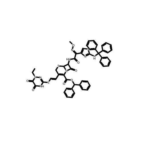 CCn1nc(SC=CC2=C(C(=O)OC(c3ccccc3)c3ccccc3)N3C(=O)C(NC(=O)C(=NOC)c4csc(NC(c5ccccc5)(c5ccccc5)c5ccccc5)n4)C3SC2)[nH]c(=O)c1=O